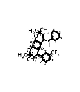 CC1(C)CC(NC2CCCCC2)c2cc3c(cc2O1)OC(C)(C)CC3c1cccc(C(F)(F)F)c1